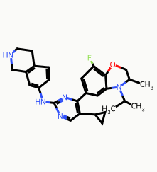 CC(C)N1c2cc(-c3nc(Nc4ccc5c(c4)CNCC5)ncc3C3CC3)cc(F)c2OCC1C